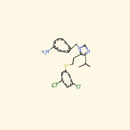 CC(C)c1ncn(Cc2ccc(N)cc2)c1CCSc1cc(Cl)cc(Cl)c1